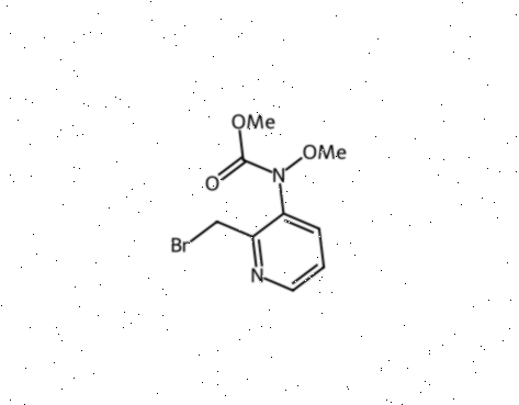 COC(=O)N(OC)c1cccnc1CBr